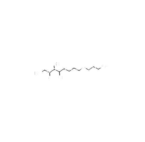 CCCCOCCCCC(O)C(O)C(O)CO